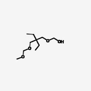 CCC(CC)(COCO)COCOC